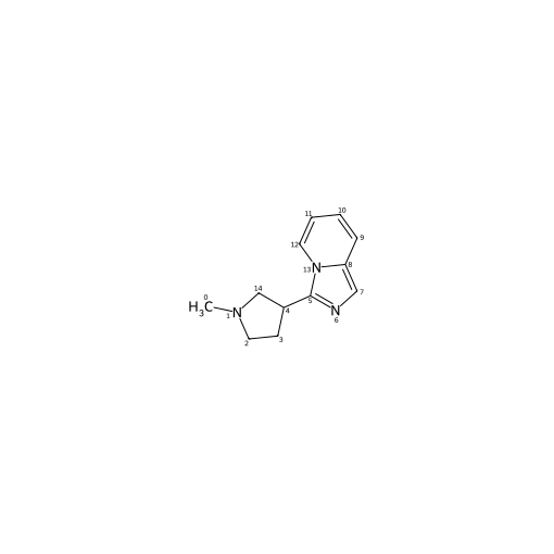 CN1CCC(c2ncc3ccccn23)C1